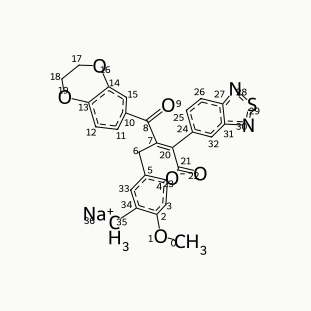 COc1ccc(C/C(C(=O)c2ccc3c(c2)OCCO3)=C(\C(=O)[O-])c2ccc3nsnc3c2)cc1C.[Na+]